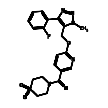 Cn1nnc(-c2ccccc2F)c1COc1ccc(C(=O)N2CCS(=O)(=O)CC2)cn1